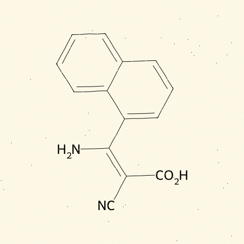 N#CC(C(=O)O)=C(N)c1cccc2ccccc12